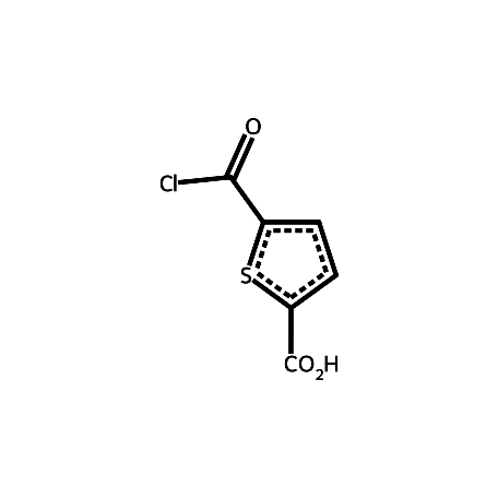 O=C(O)c1ccc(C(=O)Cl)s1